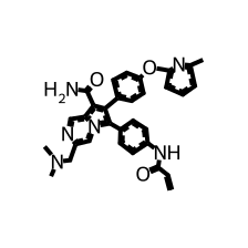 C=CC(=O)Nc1ccc(-c2c(-c3ccc(Oc4cccc(C)n4)cc3)c(C(N)=O)c3cnc(CN(C)C)cn23)cc1